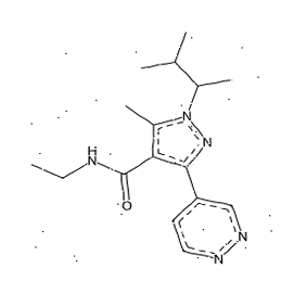 CCNC(=O)c1c(-c2ccnnc2)nn(C(C)C(C)C)c1C